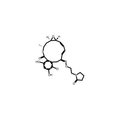 C[C@@H]1C[C@H]2O[C@@H]2\C=C/C=C/C(=N/OCCN2CCCC2=O)Cc2c(Cl)c(O)cc(O)c2C(=O)O1